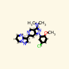 COc1ccc(Cl)cc1-n1nc(N(C)C)c2cnc(-c3cnn4cccnc34)cc21